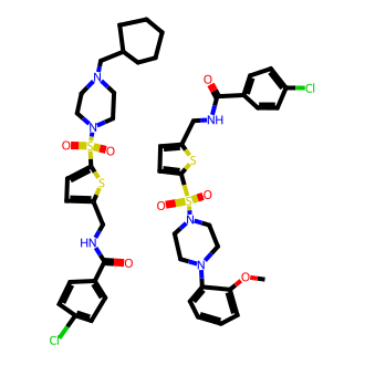 COc1ccccc1N1CCN(S(=O)(=O)c2ccc(CNC(=O)c3ccc(Cl)cc3)s2)CC1.O=C(NCc1ccc(S(=O)(=O)N2CCN(CC3CCCCC3)CC2)s1)c1ccc(Cl)cc1